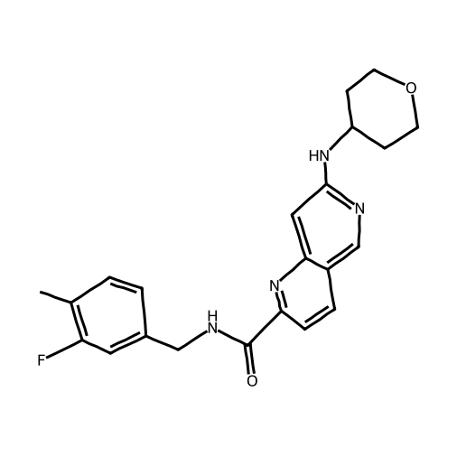 Cc1ccc(CNC(=O)c2ccc3cnc(NC4CCOCC4)cc3n2)cc1F